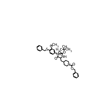 COc1cc(NC(=O)C(CC2CCN(C(=O)OCc3ccccc3)CC2)NC(=O)OC(C)(C)C)ccc1SCc1ccccc1